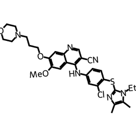 CCn1c(Sc2ccc(Nc3c(C#N)cnc4cc(OCCCN5CCOCC5)c(OC)cc34)cc2Cl)nc(C)c1C